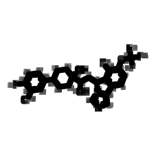 OC(CC1c2c(ccc(OC(F)(F)F)c2F)-c2cncn21)C1(O)CCC(c2ccc(F)c(Cl)c2)CC1